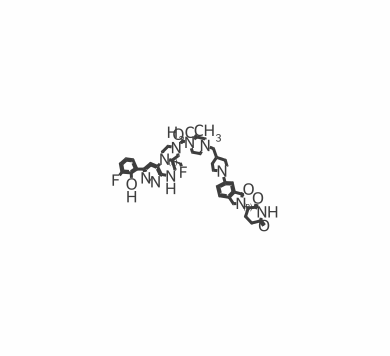 CC1(C)CN(CC2CCN(c3ccc4c(c3)C(=O)N([C@@H]3CCC(=O)NC3=O)C4)CC2)CCN1C(=O)N1CCN2c3cc(-c4cccc(F)c4O)nnc3NC[C@@]2(CF)C1